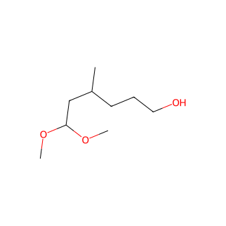 COC(CC(C)CCCO)OC